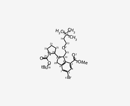 COC(=O)c1cc(Br)cc2c1C(COCC[Si](C)(C)C)N(C1CCCN1C(=O)OC(C)(C)C)C2